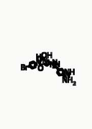 Nc1n[nH]c2cc(-c3cn([C@H]4C[C@@H](C(=O)Nc5ccc(Br)cc5)N(C(=O)O)C4)nn3)ccc12